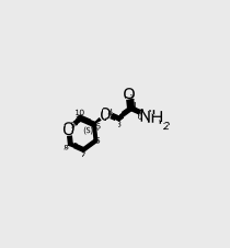 NC(=O)CO[C@H]1CCCOC1